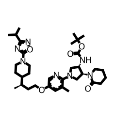 Cc1cc(OCC[C@@H](C)C2CCN(c3nc(C(C)C)no3)CC2)cnc1N1C[C@H](NC(=O)OC(C)(C)C)[C@@H](N2CCCCC2=O)C1